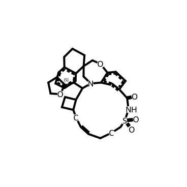 O=C1NS(=O)(=O)CCCC=CCC2CCC2C(C[C@@H]2CCCO2)N2CC3(CCCc4ccccc43)COc3ccc1cc32